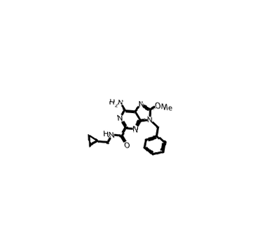 COc1nc2c(N)nc(C(=O)NCC3CC3)nc2n1Cc1ccccc1